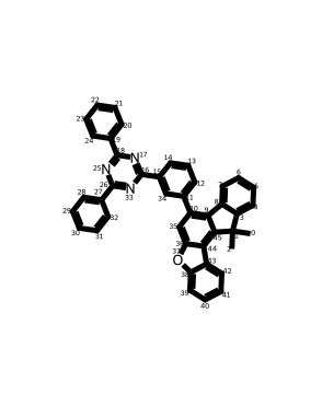 CC1(C)c2ccccc2-c2c(-c3cccc(-c4nc(-c5ccccc5)nc(-c5ccccc5)n4)c3)cc3oc4ccccc4c3c21